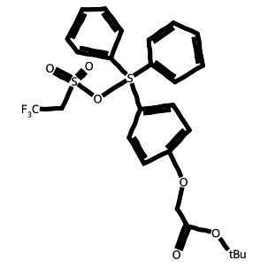 CC(C)(C)OC(=O)COc1ccc(S(OS(=O)(=O)CC(F)(F)F)(c2ccccc2)c2ccccc2)cc1